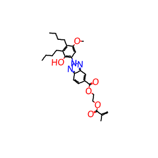 C=C(C)C(=O)OCCOC(=O)c1ccc2nn(-c3cc(OC)c(CCCC)c(CCCC)c3O)nc2c1